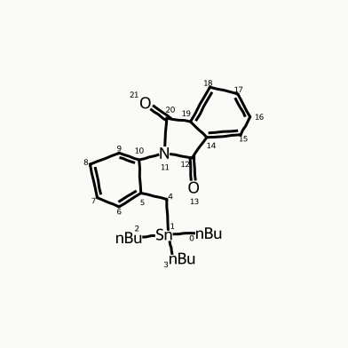 CCC[CH2][Sn]([CH2]CCC)([CH2]CCC)[CH2]c1ccccc1N1C(=O)c2ccccc2C1=O